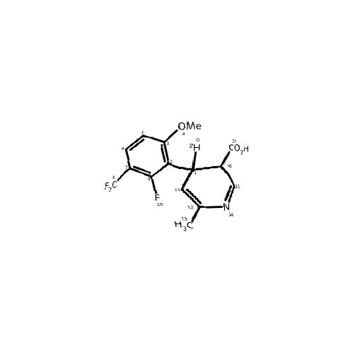 [2H]C1(c2c(OC)ccc(C(F)(F)F)c2F)C=C(C)N=CC1C(=O)O